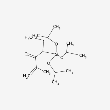 C=C(C)C(=O)C(CC)[Si](OC(C)C)(OC(C)C)OC(C)C